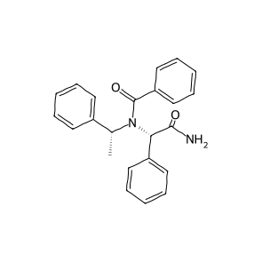 C[C@H](c1ccccc1)N(C(=O)c1ccccc1)[C@H](C(N)=O)c1ccccc1